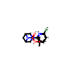 CC(C)(C)OC(=O)N1C2CC1CN(c1cccc(Br)n1)C2